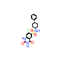 Cn1c(=O)[nH]c(=O)c2cc(S(=O)(=O)N[C@H]3CC[C@H](c4ccccc4)CC3)c(F)cc21